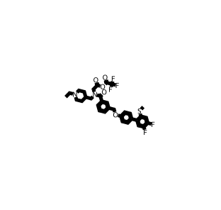 CCN1CCC(CN(CC(=O)OC(=O)C(F)(F)F)C(=O)c2cccc(COc3ccc(-c4cc(F)c(F)cc4SC)cc3)c2)CC1